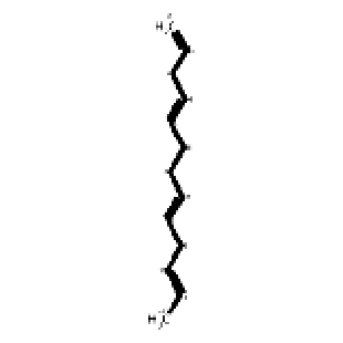 C=CCC=CCCC=CCC=CC